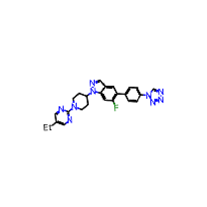 CCc1cnc(N2CCC(n3ncc4cc(-c5ccc(-n6cnnn6)cc5)c(F)cc43)CC2)nc1